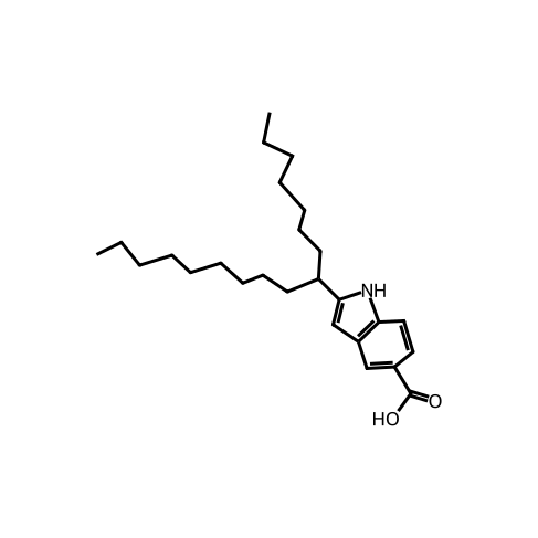 CCCCCCCCCC(CCCCCCC)c1cc2cc(C(=O)O)ccc2[nH]1